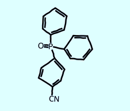 N#Cc1ccc(P(=O)(c2ccccc2)c2ccccc2)cc1